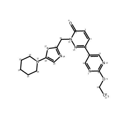 O=c1ccc(-c2cnc(OCC(F)(F)F)nc2)nn1Cc1ncc(N2CCCCC2)s1